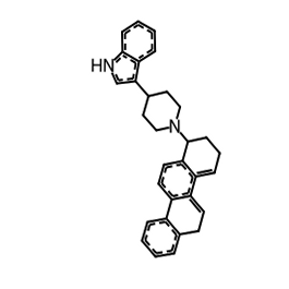 C1=c2c(ccc3c2=CCCC3N2CCC(c3c[nH]c4ccccc34)CC2)-c2ccccc2C1